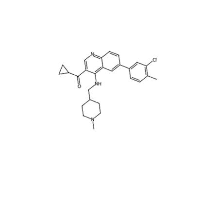 Cc1ccc(-c2ccc3ncc(C(=O)C4CC4)c(NCC4CCN(C)CC4)c3c2)cc1Cl